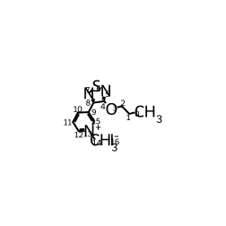 CCCOc1nsnc1-c1ccc[n+](C)c1.[I-]